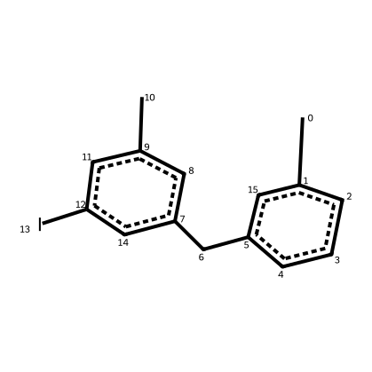 Cc1cccc(Cc2cc(C)cc(I)c2)c1